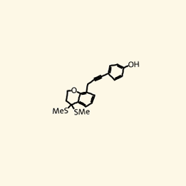 CSC1(SC)CCOc2c(CC#Cc3ccc(O)cc3)cccc21